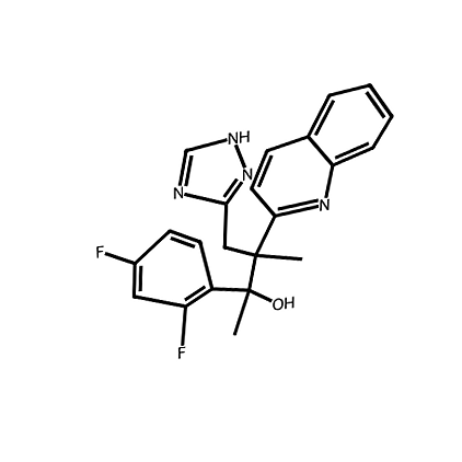 CC(O)(c1ccc(F)cc1F)C(C)(Cc1nc[nH]n1)c1ccc2ccccc2n1